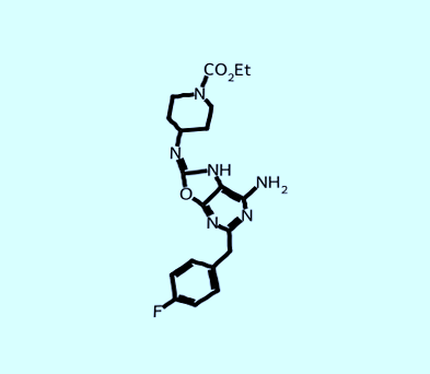 CCOC(=O)N1CCC(N=c2[nH]c3c(N)nc(Cc4ccc(F)cc4)nc3o2)CC1